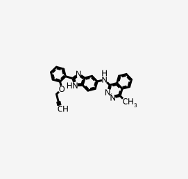 C#CCOc1ccccc1-c1nc2cc(Nc3nnc(C)c4ccccc34)ccc2[nH]1